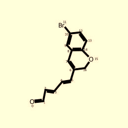 O=CC=CC=CC1=Cc2cc(Br)ccc2OC1